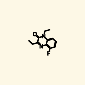 CCc1nc2c(F)cccc2n(CC)c1=O